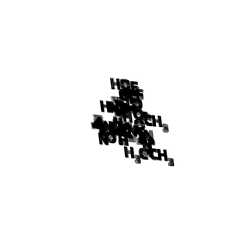 CC(C)n1cnc(C(=O)N2C[C@@H]3C(C(=O)NC4(C#N)CC4)[C@@H]3C2)c1.CCOC(=O)C1[C@H]2CNC[C@@H]12.O=C(O)C(F)(F)F